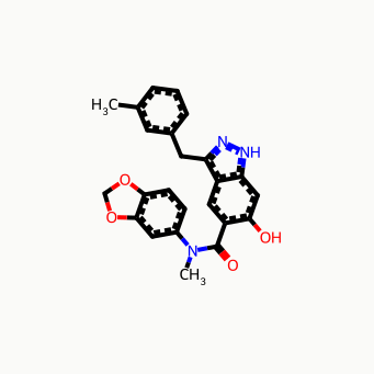 Cc1cccc(Cc2n[nH]c3cc(O)c(C(=O)N(C)c4ccc5c(c4)OCO5)cc23)c1